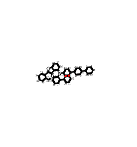 c1ccc(-c2ccc(-c3ccc(N(c4ccccc4-c4ccccc4)c4cccc5oc6c7ccccc7cnc6c45)cc3)cc2)cc1